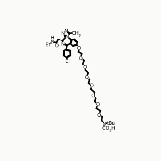 CCNC(=O)C[C@@H]1N=C(c2ccc(Cl)cc2)c2cc(OCCOCCOCCOCCOCCOCCOCCOCCN(C(=O)O)C(C)(C)C)ccc2-n2c(C)nnc21